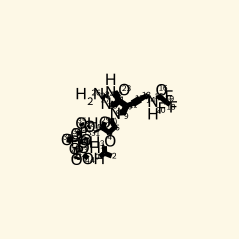 CC(C)COC1C[C@H](n2cc(C#CCNC(=O)C(F)(F)F)c3c(=O)[nH]c(N)nc32)O[C@@H]1COP(=O)(O)OP(=O)(O)OP(=O)(O)O